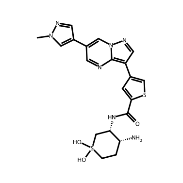 Cn1cc(-c2cnc3c(-c4csc(C(=O)N[C@H]5CS(O)(O)CC[C@H]5N)c4)cnn3c2)cn1